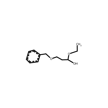 CCOC(O)CCOCc1ccccc1